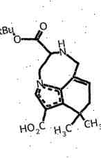 CC(C)(C)OC(=O)C1Cn2cc(C(=O)O)c3c2C(=CCC3(C)C)CN1